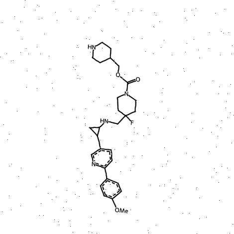 COc1ccc(-c2ccc(C3CC3NCC3(F)CCN(C(=O)OCC4CCNCC4)CC3)cn2)cc1